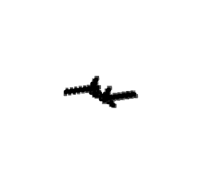 CCCCCCCCCCCCC(OCCC)=C(OCCC)C(C)OCOCOC(C)C(OCCC)=C(CCCCCCCCCCCC)OCCC